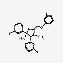 CN1C(COc2cccc(F)c2)=N[C@@](C)(c2cccc(F)c2)[C@H]1c1cccc(F)c1